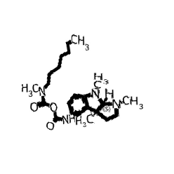 CCCCCCCN(C)C(=O)OC(=O)Nc1ccc2c(c1)[C@]1(C)CCN(C)[C@H]1N2C